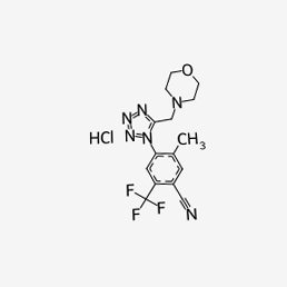 Cc1cc(C#N)c(C(F)(F)F)cc1-n1nnnc1CN1CCOCC1.Cl